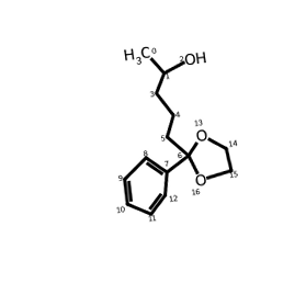 CC(O)CCCC1(c2ccccc2)OCCO1